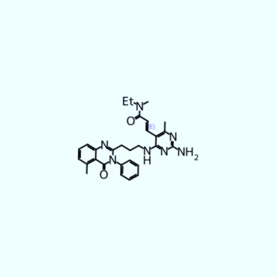 CCN(C)C(=O)/C=C/c1c(C)nc(N)nc1NCCCc1nc2cccc(C)c2c(=O)n1-c1ccccc1